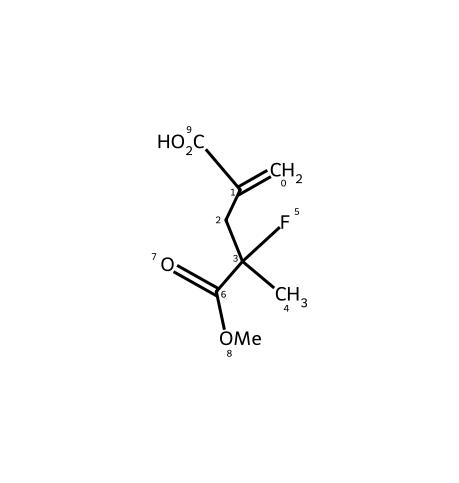 C=C(CC(C)(F)C(=O)OC)C(=O)O